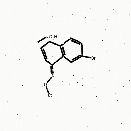 CC(=O)O.CCON=C1C=CCc2ccc(Br)cc21